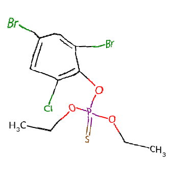 CCOP(=S)(OCC)Oc1c(Cl)cc(Br)cc1Br